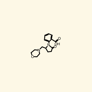 O=C(O)c1ccccc1N1C(=O)CCC1CN1CCOCC1